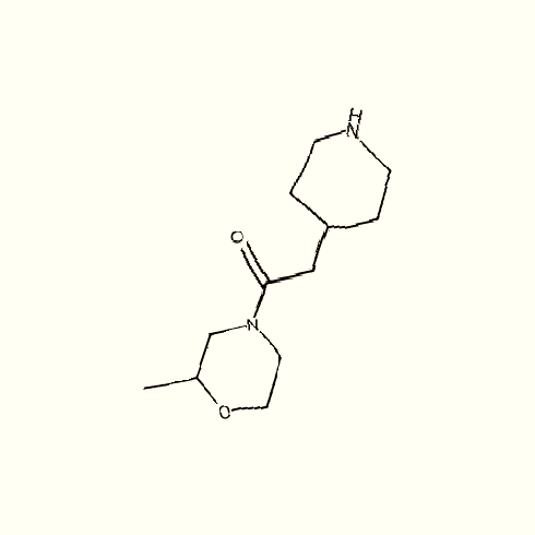 CC1CN(C(=O)CC2CCNCC2)CCO1